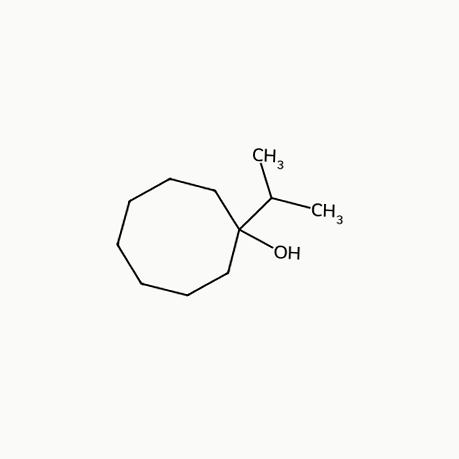 CC(C)C1(O)CCCCCCC1